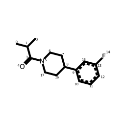 CC(C)C(=O)N1CCC(c2cccc(F)c2)CC1